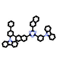 c1ccc(-c2ccc(-n3c4ccccc4c4ccccc43)c(-c3ccc4ccc(-c5nc(-c6cccc(-n7c8ccccc8c8ccccc87)c6)nc(-c6ccc7ccccc7c6)n5)cc4c3)c2)cc1